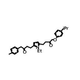 CCn1c(CCC(=O)COc2ccc(C(C)C)cc2)ccc1CCC(=O)Cc1ccc(C)cc1